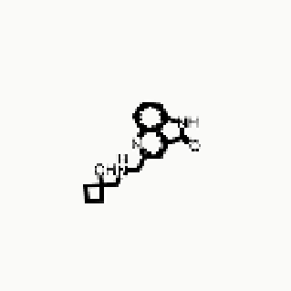 O=C1Nc2cccc3nc(CNCC4(O)CCC4)cc1c23